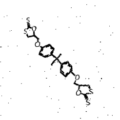 CC(C)(c1ccc(OCC2CSC(=S)O2)cc1)c1ccc(OCC2CSC(=S)O2)cc1